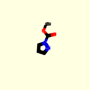 CC(C)(C)OC(=O)n1cc[c]n1